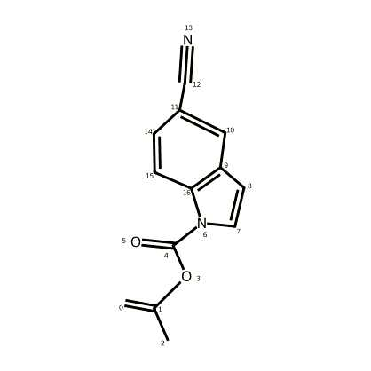 C=C(C)OC(=O)n1ccc2cc(C#N)ccc21